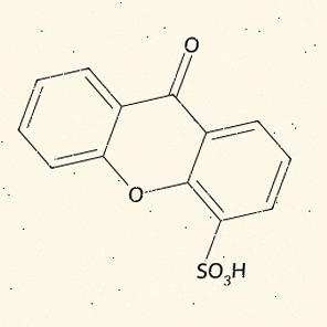 O=c1c2ccccc2oc2c(S(=O)(=O)O)cccc12